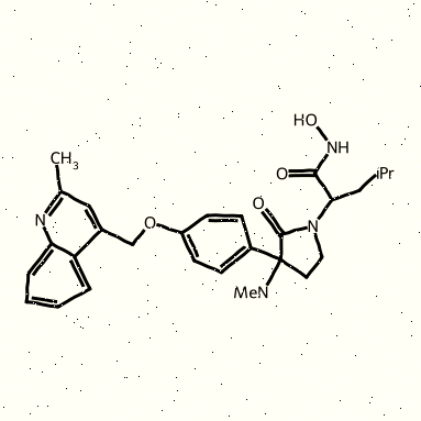 CNC1(c2ccc(OCc3cc(C)nc4ccccc34)cc2)CCN(C(CC(C)C)C(=O)NO)C1=O